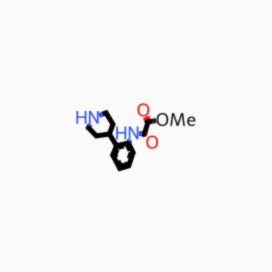 COC(=O)C(=O)Nc1ccccc1C1CCNCC1